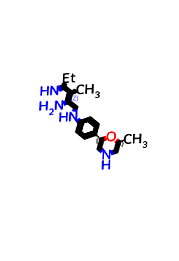 CCC(=N)/C(C)=C(\N)CNc1ccc([C@H]2CNC[C@@H](C)O2)cc1